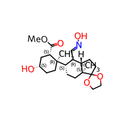 COC(=O)[C@H]1C[C@@H](O)CC[C@]1(C)[C@H]1CC[C@@]2(C)[C@@H](CCC23OCCO3)[C@@H]1C=NO